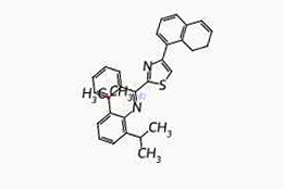 CC(C)c1cccc(C(C)C)c1/N=C(\c1ccccc1)c1nc(-c2cccc3c2CCC=C3)cs1